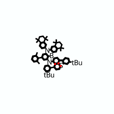 Cc1cccc(C)c1-c1cc2c3c(c1)N(c1ccc(C(C)(C)C)cc1-c1ccccc1)c1cc4sc5cc(C(C)(C)C)ccc5c4cc1B3c1cc3c(cc1N2c1ccc2c(c1)C(C)(C)CCC2(C)C)C(C)(C)CCC3(C)C